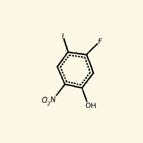 O=[N+]([O-])c1cc(I)c(F)cc1O